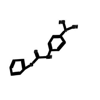 O=C(Nc1ccc(B(O)O)cc1)Oc1ccccc1